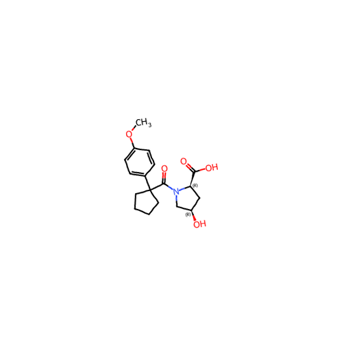 COc1ccc(C2(C(=O)N3C[C@H](O)C[C@@H]3C(=O)O)CCCC2)cc1